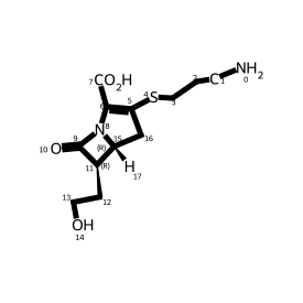 NCCCSC1=C(C(=O)O)N2C(=O)[C@H](CCO)[C@H]2C1